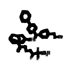 CCSCc1ccc(C(=S)c2ccc(-c3ccccc3)cc2)cc1.O=C(OCCC(F)C(F)(F)S(=O)(=O)O)C12CC3CC(CC(O)(C3)C1)C2